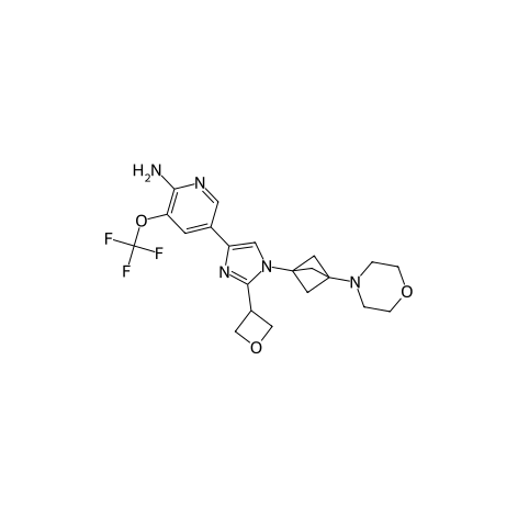 Nc1ncc(-c2cn(C34CC(N5CCOCC5)(C3)C4)c(C3COC3)n2)cc1OC(F)(F)F